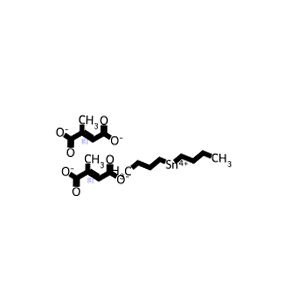 C/C(=C\C(=O)[O-])C(=O)[O-].C/C(=C\C(=O)[O-])C(=O)[O-].CCC[CH2][Sn+4][CH2]CCC